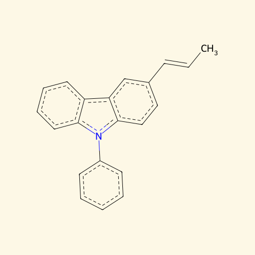 CC=Cc1ccc2c(c1)c1ccccc1n2-c1ccccc1